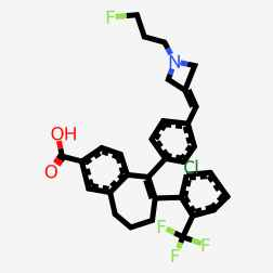 O=C(O)c1ccc2c(c1)CCCC(c1c(Cl)cccc1C(F)(F)F)=C2c1ccc(C=C2CN(CCCF)C2)cc1